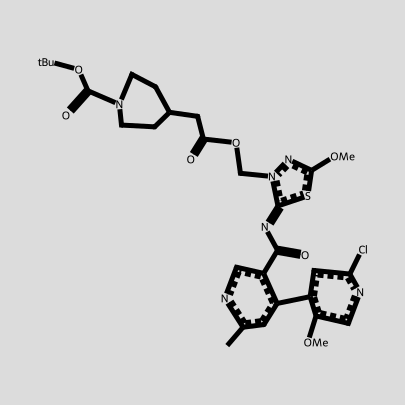 COc1nn(COC(=O)CC2CCN(C(=O)OC(C)(C)C)CC2)/c(=N/C(=O)c2cnc(C)cc2-c2cc(Cl)ncc2OC)s1